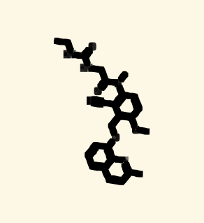 CCNC(=O)NCC(=O)N(C)c1ccc(OC)c(COc2cccc3ccc(C)nc23)c1C#N